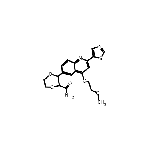 COCCOc1cc(-c2cncs2)nc2ccc(C3OCCCC3C(N)=O)cc12